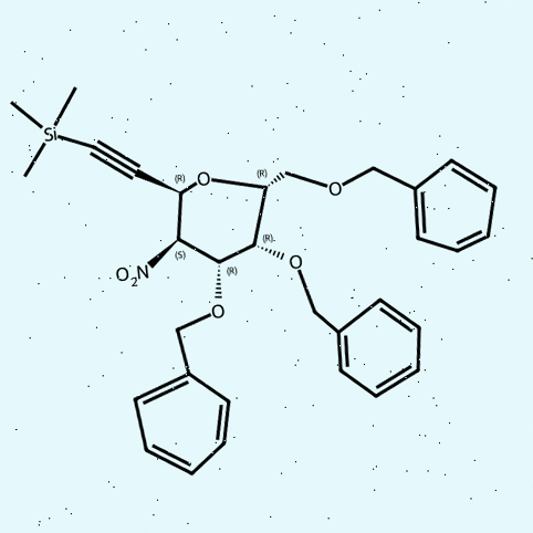 C[Si](C)(C)C#C[C@H]1O[C@H](COCc2ccccc2)[C@H](OCc2ccccc2)[C@H](OCc2ccccc2)[C@H]1[N+](=O)[O-]